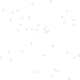 O=C1Nc2ccncc2N2CCNCC12